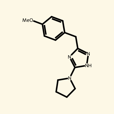 COc1ccc(Cc2n[nH]c(N3CCCC3)n2)cc1